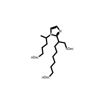 CCCCCCCCCCCCCCCCC(CCCCCCCCCCC)c1nccn1C(C)CCCCCCCCCCCCC